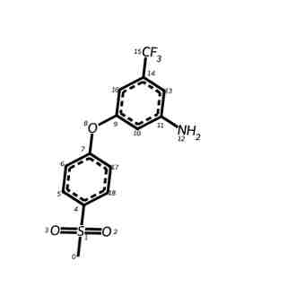 CS(=O)(=O)c1ccc(Oc2cc(N)cc(C(F)(F)F)c2)cc1